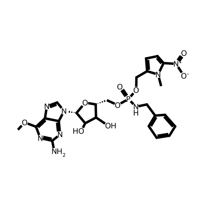 COc1nc(N)nc2c1ncn2[C@@H]1O[C@H](COP(=O)(NCc2ccccc2)OCc2ccc([N+](=O)[O-])n2C)C(O)C1O